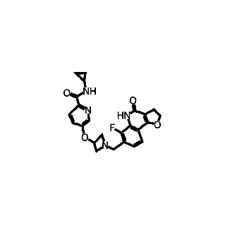 O=C(NC1CC1)c1ccc(OC2CN(Cc3ccc4c5c(c(=O)[nH]c4c3F)CCO5)C2)cn1